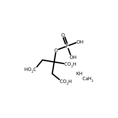 O=C(O)CC(CC(=O)O)(OP(=O)(O)O)C(=O)O.[CaH2].[KH]